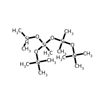 C[SiH](C)O[Si](C)(O[Si](C)(C)C)O[Si](C)(C)O[Si](C)(C)C